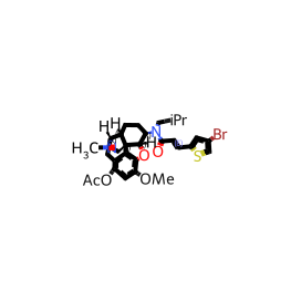 COc1cc(OC(C)=O)c2c3c1O[C@H]1[C@H](N(CC(C)C)C(=O)/C=C/c4cc(Br)cs4)CC[C@H]4[C@@H](C2)N(C)CC[C@@]341